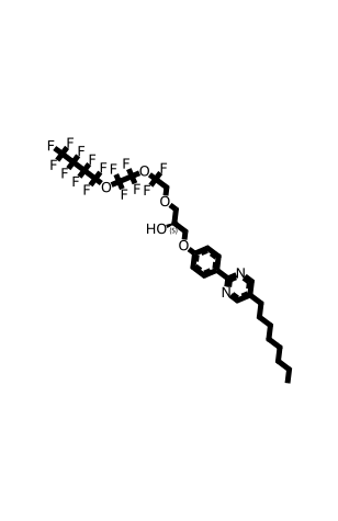 CCCCCCCCc1cnc(-c2ccc(OC[C@@H](O)COCC(F)(F)OC(F)(F)C(F)(F)OC(F)(F)C(F)(F)C(F)(F)C(F)(F)F)cc2)nc1